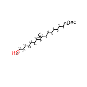 CCCCCCCCCCCCCCCCCCCCCCCCCCO.[C]